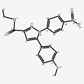 CCOC(=O)c1cc(-c2ccc(SC)cc2)n(-c2ccc([N+](=O)[O-])cc2)n1